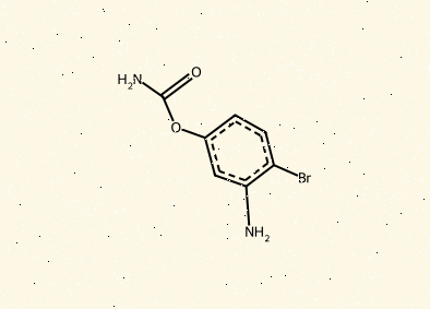 NC(=O)Oc1ccc(Br)c(N)c1